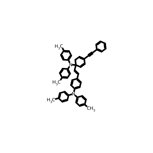 Cc1ccc(N(c2ccc(C)cc2)c2ccc(C=CC3(N(c4ccc(C)cc4)c4ccc(C)cc4)C=CC(C#Cc4ccccc4)=CC3)cc2)cc1